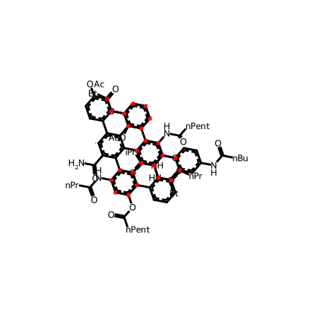 CCCCCC(=O)Nc1c(-c2ccc(NC(=O)CCCC)cc2-c2cccc(-c3ccc(NC(=O)CCC)cc3-c3ccccc3NC(=O)CC)c2NC(=O)C(C)C)cccc1-c1cccc(-c2cc(OC(C)=O)ccc2-c2[c]c(C(N)=O)c(-c3ccc(OC(=O)CCCCC)cc3)c(-c3ccc(OC(=O)CCC)cc3)c2-c2ccccc2OC(=O)CC)c1OC(C)=O